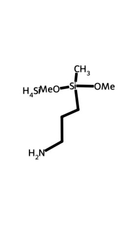 CO[Si](C)(CCCN)OC.[SiH4]